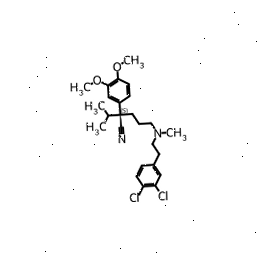 COc1ccc([C@](C#N)(CCCN(C)CCc2ccc(Cl)c(Cl)c2)C(C)C)cc1OC